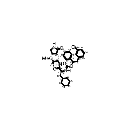 COC(=O)[C@H](C[C@@H]1CCNC1=O)NC(=O)[C@H](CC1CCCCC1)NC(=O)OC(Cc1cccc(Cl)c1)c1ccccc1